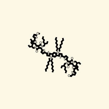 CCCCCCCC[Si]1(CCCCCCCC)c2cc3c(cc2-c2sc(-c4ccc(C5=C6C(=O)N(CC(CC)CCCC)C(c7ccc(-c8ccc(C=O)s8)s7)=C6C(=O)N5CC(CC)CCCC)s4)cc21)[Si](CCCCCCCC)(CCCCCCCC)c1cc(-c2ccc(C4=C5C(=O)N(CC(CC)CCCC)C(c6ccc(-c7ccc(OC)s7)s6)=C5C(=O)N4CC(CC)CCCC)s2)sc1-3